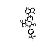 C[C@@H]1CCc2ncnc(N3CCN(C(=O)[C@@H](c4ccc(C(F)(F)F)cc4)[C@@H]4CCC(=O)N4)CC3)c21